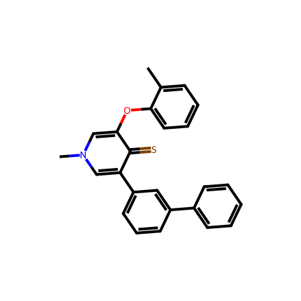 Cc1ccccc1Oc1cn(C)cc(-c2cccc(-c3ccccc3)c2)c1=S